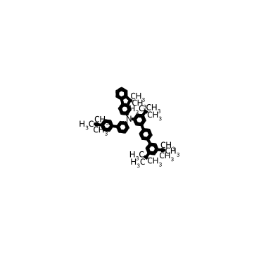 CC(C)(C)c1ccc(-c2cccc(N(c3cc(-c4ccc(-c5cc(C(C)(C)C)cc(C(C)(C)C)c5)cc4)cc(C(C)(C)C)c3)c3ccc4c(c3)C(C)(C)c3ccccc3-4)c2)cc1